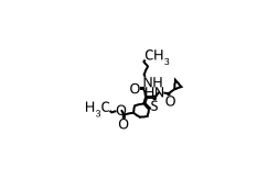 CCCCNC(=O)c1c(NC(=O)C2CC2)sc2c1CC(C(=O)OCC)CC2